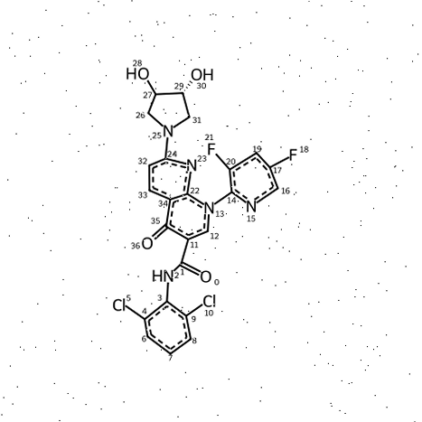 O=C(Nc1c(Cl)cccc1Cl)c1cn(-c2ncc(F)cc2F)c2nc(N3CC(O)[C@H](O)C3)ccc2c1=O